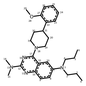 CCCN(CCC)c1ccc2nc(N(C)C)nc(N3CCC(c4ccccc4OC)CC3)c2c1